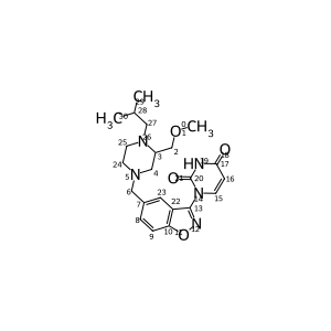 COCC1CN(Cc2ccc3onc(-n4ccc(=O)[nH]c4=O)c3c2)CCN1CC(C)C